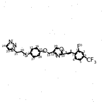 Fc1cc(C(F)(F)F)ccc1/C=C/c1nc(COc2ccc(SCCn3ccnn3)cc2)co1